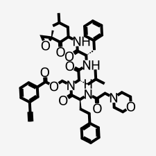 C#Cc1cccc(C(=O)OCN(C(=O)[C@H](CCc2ccccc2)NC(=O)CN2CCOCC2)[C@@H](CC(C)C)C(=O)N[C@@H](Cc2ccccc2)C(=O)NC(CC(C)C)C(=O)[C@@]2(C)CO2)c1